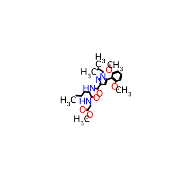 CCCCC(NC(=O)c1cc(-c2c(OC)cccc2OC)n(CC(C)C)n1)C(=O)NCC(=O)OC